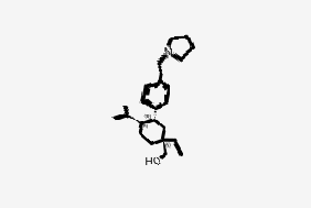 C=C[C@]1(CO)CC[C@@H](C(=C)C)[C@H](c2ccc(CN3CCCC3)cc2)C1